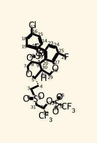 O=S(=O)(CC[C@@H]1OCC[C@@]2(S(=O)(=O)c3ccc(Cl)cc3)c3c(F)ccc(F)c3OC[C@@H]12)C[C@H](OS(=O)(=O)C(F)(F)F)C(F)(F)F